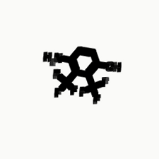 Nc1ccc(O)c(C(F)(F)F)c1C(F)(F)F